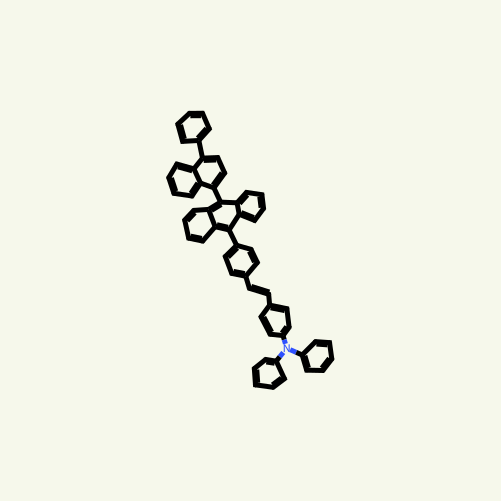 C(=C\c1ccc(N(c2ccccc2)c2ccccc2)cc1)/c1ccc(-c2c3ccccc3c(-c3ccc(-c4ccccc4)c4ccccc34)c3ccccc23)cc1